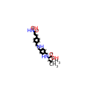 CC(C)C[C@@H](NCc1ccc(CNCc2ccc(/C=C/C(=O)NO)cc2)cc1)C(=O)O